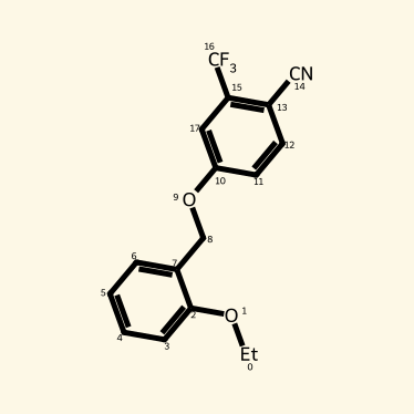 CCOc1ccccc1COc1ccc(C#N)c(C(F)(F)F)c1